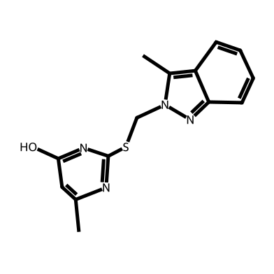 Cc1cc(O)nc(SCn2nc3ccccc3c2C)n1